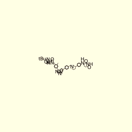 Cc1cc(-c2ncnn3cc(-c4ccc(CN5CCCC(c6ccc(NC7CCC(=O)NC7=O)cc6)C5)cc4)cc23)ccc1CNC(=O)c1noc(C(C)(C)C)n1